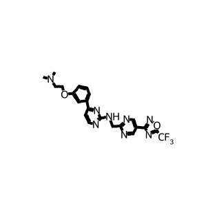 CN(C)CCOc1cccc(-c2ccnc(NCc3ncc(-c4noc(C(F)(F)F)n4)cn3)n2)c1